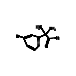 CCC(=O)C(C)(N)c1cccc(Br)c1